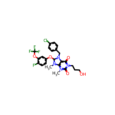 CN1c2c(c(=O)n(CCCO)c(=O)n2C)N(Cc2ccc(Cl)cc2)C1Oc1ccc(F)c(OC(F)(F)F)c1